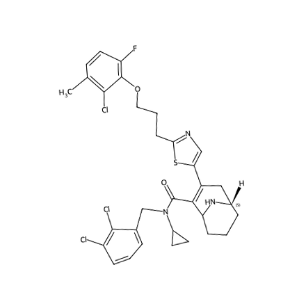 Cc1ccc(F)c(OCCCc2ncc(C3=C(C(=O)N(Cc4cccc(Cl)c4Cl)C4CC4)C4CCC[C@@H](C3)N4)s2)c1Cl